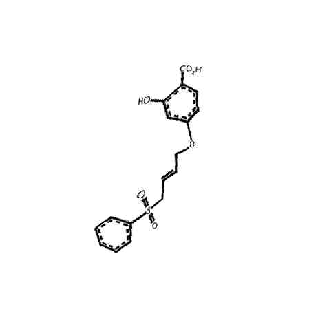 O=C(O)c1ccc(OCC=CCS(=O)(=O)c2ccccc2)cc1O